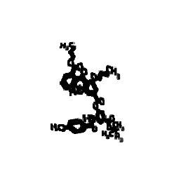 CCCCOC(=O)c1cccc(O)c1C(=O)c1c(O)cc(C(=O)O[C@H]2CN(C(=O)OC(C)(C)C)C[C@@H]2NC(=O)c2ccc(O)cc2)cc1OCCCC